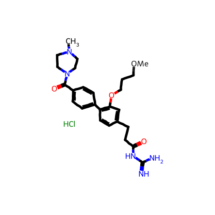 COCCCOc1cc(CCC(=O)NC(=N)N)ccc1-c1ccc(C(=O)N2CCN(C)CC2)cc1.Cl